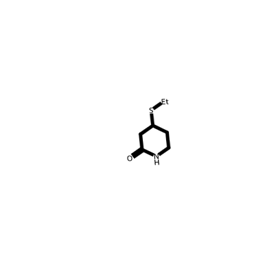 CCSC1CCNC(=O)C1